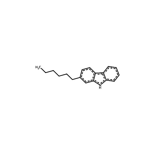 CCCCCCc1ccc2c(c1)[nH]c1ccccc12